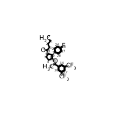 C=CCCC(=O)[C@@H]1CC[C@H](O[C@H](C)c2cc(C(F)(F)F)cc(C(F)(F)F)c2)[C@H]1c1ccc(F)cc1